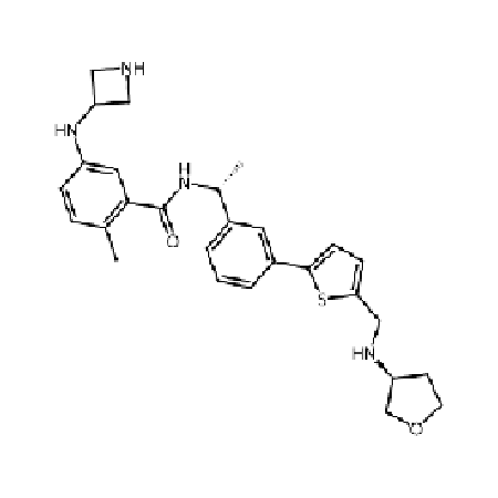 Cc1ccc(NC2CNC2)cc1C(=O)N[C@H](C)c1cccc(-c2ccc(CN[C@H]3CCOC3)s2)c1